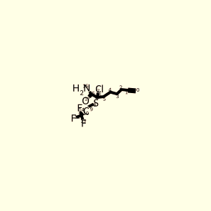 C#CCCCCC(Cl)(SCCC(F)(F)F)C(N)=O